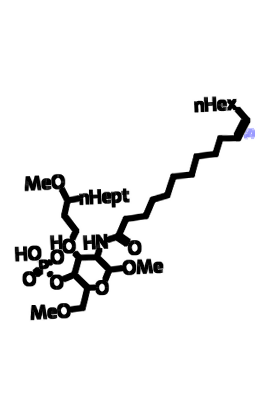 CCCCCC/C=C\CCCCCCCCCC(=O)NC1C(OC)OC(COC)C(OP(=O)(O)O)C1OCCC(CCCCCCC)OC